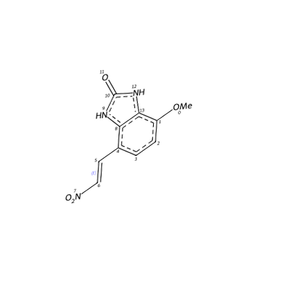 COc1ccc(/C=C/[N+](=O)[O-])c2[nH]c(=O)[nH]c12